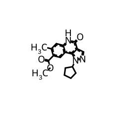 COC(=O)c1cc2c(cc1C)[nH]c(=O)c1cnn(C3CCCC3)c12